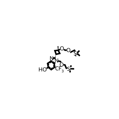 C[Si](C)(C)CCOCO[C@]1(C)C[C@H](c2nc3cc(O)cc(C(F)(F)F)c3n2COCC[Si](C)(C)C)C1